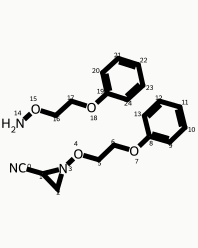 N#CC1CN1OCCOc1ccccc1.NOCCOc1ccccc1